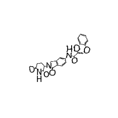 O=C1CCC(N2Cc3cc(NC(=O)C4=COc5ccccc5O4)ccc3C2=O)C(=O)N1